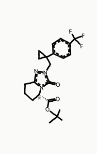 CC(C)(C)OC(=O)[C@@H]1CCCc2nn(CC3(c4ccc(C(F)(F)F)cc4)CC3)c(=O)n21